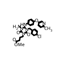 COC(=O)CCCN1C(=O)N(N)C(Nc2ccc(Oc3ccc(C)nc3)cc2)N(CC2=CCC(Cl)C=C2)C1=O